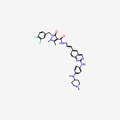 Cc1c(C(=O)NC/C=C/c2ccc3nc(Nc4ccc(N(C)C5CCN(C)CC5)cc4)ncc3c2)c(=O)n(Cc2ccc(F)c(F)c2)n1C